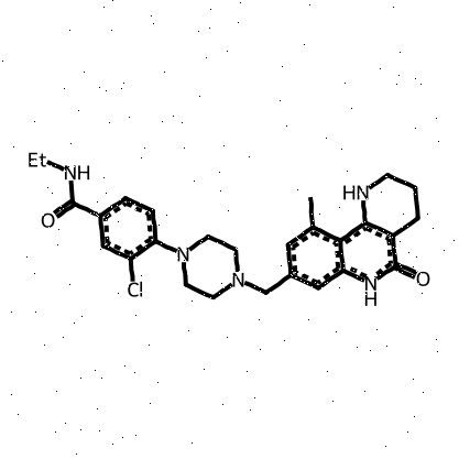 CCNC(=O)c1ccc(N2CCN(Cc3cc(C)c4c5c(c(=O)[nH]c4c3)CCCN5)CC2)c(Cl)c1